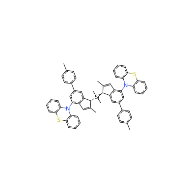 CC1=Cc2c(cc(-c3ccc(C)cc3)cc2N2c3ccccc3Sc3ccccc32)[C@@H]1[Si](C)(C)[C@H]1C(C)=Cc2c1cc(-c1ccc(C)cc1)cc2N1c2ccccc2Sc2ccccc21